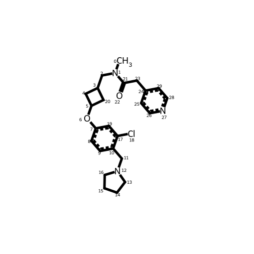 CN(CC1CC(Oc2ccc(CN3CCCC3)c(Cl)c2)C1)C(=O)Cc1ccncc1